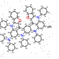 CC(C)c1cc2c3c(c1)N(c1ccccc1)c1c(oc4ccccc14)B3c1cc3c(cc1N2c1ccccc1)N(c1ccccc1)c1cc(N(c2ccccc2)c2ccccc2)cc2c1B3c1oc3ccccc3c1N2c1ccccc1